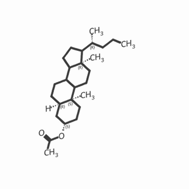 CCC[C@@H](C)C1CCC2C3CC[C@@H]4C[C@@H](OC(C)=O)CC[C@]4(C)C3CC[C@@]21C